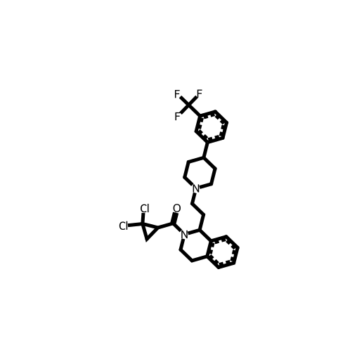 O=C(C1CC1(Cl)Cl)N1CCc2ccccc2C1CCN1CCC(c2cccc(C(F)(F)F)c2)CC1